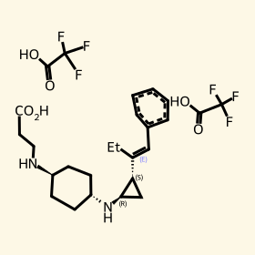 CC/C(=C\c1ccccc1)[C@@H]1C[C@H]1N[C@H]1CC[C@H](NCCC(=O)O)CC1.O=C(O)C(F)(F)F.O=C(O)C(F)(F)F